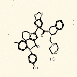 Cc1ccc(N(C(=O)c2cc(-c3cc4c(cc3C(=O)N3Cc5ccccc5C[C@H]3CN3CCOCC3)OCO4)n3c2CCCC3)c2ccc(O)cc2)cc1.Cl